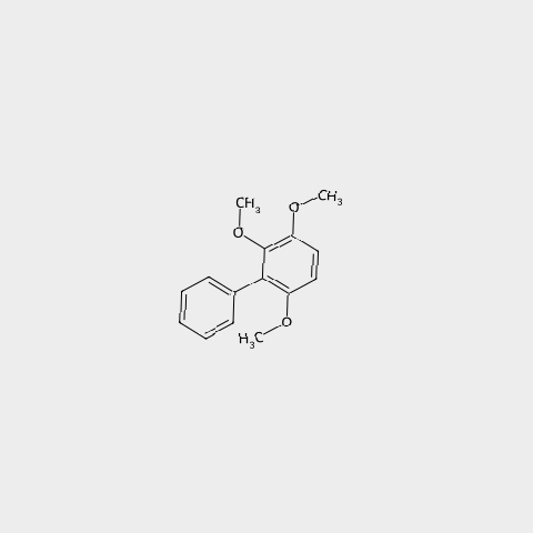 COc1ccc(OC)c(-c2ccccc2)c1OC